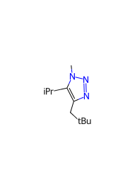 CC(C)c1c(CC(C)(C)C)nnn1C